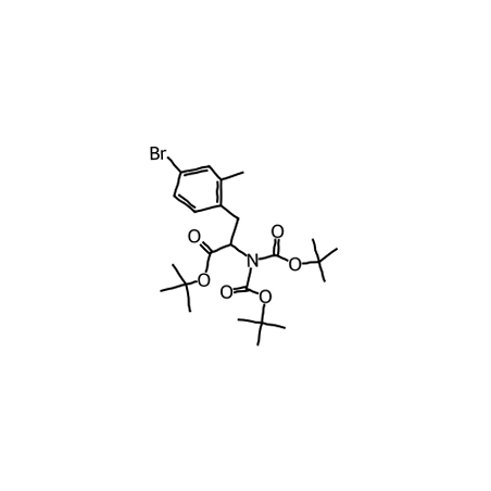 Cc1cc(Br)ccc1CC(C(=O)OC(C)(C)C)N(C(=O)OC(C)(C)C)C(=O)OC(C)(C)C